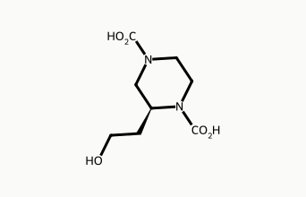 O=C(O)N1CCN(C(=O)O)[C@@H](CCO)C1